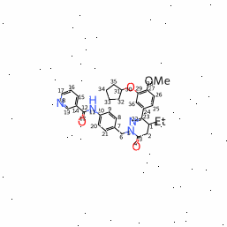 CCC1CC(=O)N(Cc2ccc(NC(=O)c3cccnc3)cc2)N=C1c1ccc(OC)c(OC2CCCC2)c1